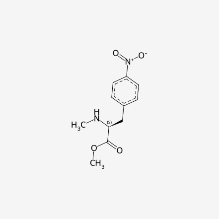 CN[C@@H](Cc1ccc([N+](=O)[O-])cc1)C(=O)OC